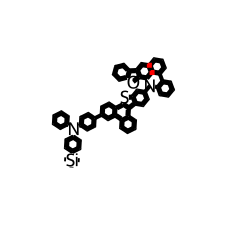 C[Si](C)(C)c1ccc(N(c2ccccc2)c2ccc(-c3ccc4c(c3)c3ccccc3c3c5ccc(N(c6ccccc6-c6ccccc6)c6cccc7c6oc6ccccc67)cc5sc43)cc2)cc1